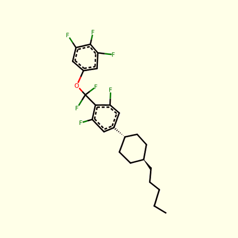 CCCCC[C@H]1CC[C@H](c2cc(F)c(C(F)(F)Oc3cc(F)c(F)c(F)c3)c(F)c2)CC1